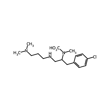 CN(C)CCCNCC(Cc1ccc(Cl)cc1)N(C)C(=O)O